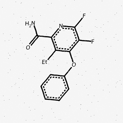 CCc1c(C(N)=O)nc(F)c(F)c1Oc1ccccc1